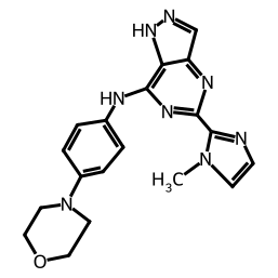 Cn1ccnc1-c1nc(Nc2ccc(N3CCOCC3)cc2)c2[nH]ncc2n1